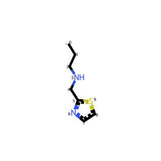 [CH2]CCNCc1nccs1